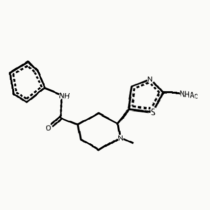 CC(=O)Nc1ncc(C2CC(C(=O)Nc3ccccc3)CCN2C)s1